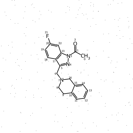 CC(=O)n1nc(CN2CCc3ccccc3C2)c2ccc(F)cc21